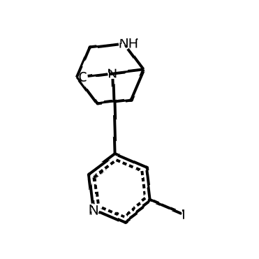 Ic1cncc(N2CC3CCC(C2)NC3)c1